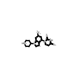 O=c1ccn(-c2cc(C(F)(F)F)cc3c2ccn3C2CCNCC2)c(=O)[nH]1